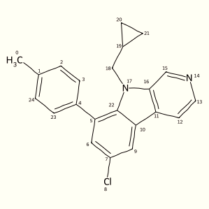 Cc1ccc(-c2cc(Cl)cc3c4ccncc4n(CC4CC4)c23)cc1